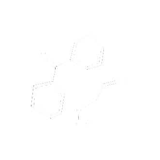 C=CCOC=O.O=C(c1ccccc1)c1ccccc1